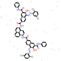 O=C(Nc1ccc2cccc3c2c1C=CC3NC(=O)c1ccc2c(N=Nc3cc(Cl)ccc3Cl)c(O)c(C(=O)Nc3ccccc3)cc2c1)c1ccc2c(N=Nc3cc(Cl)ccc3Cl)c(O)c(C(=O)Nc3ccccc3)cc2c1